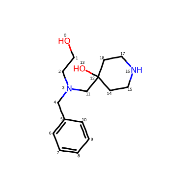 OCCN(Cc1ccccc1)CC1(O)CCNCC1